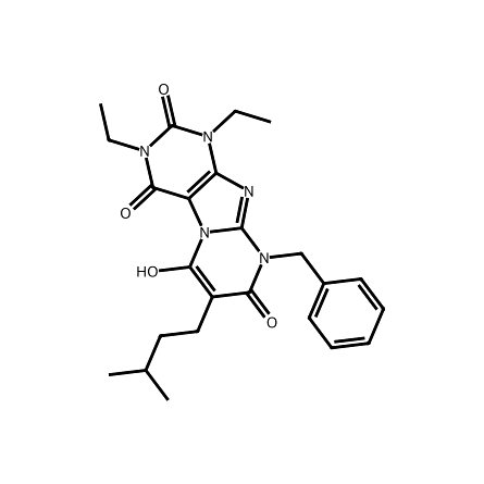 CCn1c(=O)c2c(nc3n(Cc4ccccc4)c(=O)c(CCC(C)C)c(O)n23)n(CC)c1=O